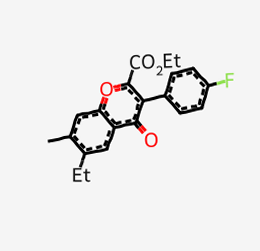 CCOC(=O)c1oc2cc(C)c(CC)cc2c(=O)c1-c1ccc(F)cc1